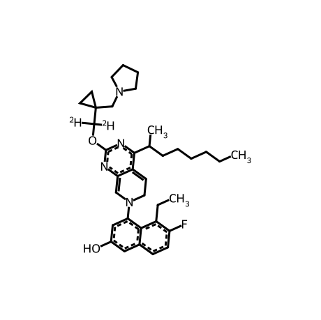 [2H]C([2H])(Oc1nc(C(C)CCCCCC)c2c(n1)=CN(c1cc(O)cc3ccc(F)c(CC)c13)CC=2)C1(CN2CCCC2)CC1